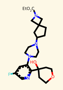 CCOC(=O)N1CC2(CCC(N3CCN(c4cc(F)cnc4C4(O)CCOCC4)CC3)C2)C1